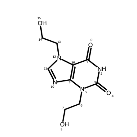 O=c1[nH]c(=O)n(CCO)c2ncn(CCO)c12